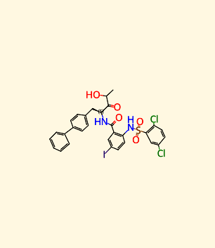 CC(O)C(=O)[C@H](Cc1ccc(-c2ccccc2)cc1)NC(=O)c1cc(I)ccc1NS(=O)(=O)c1cc(Cl)ccc1Cl